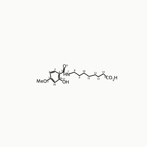 COc1ccc(C(=O)NCCCCCCCC(=O)O)c(O)c1